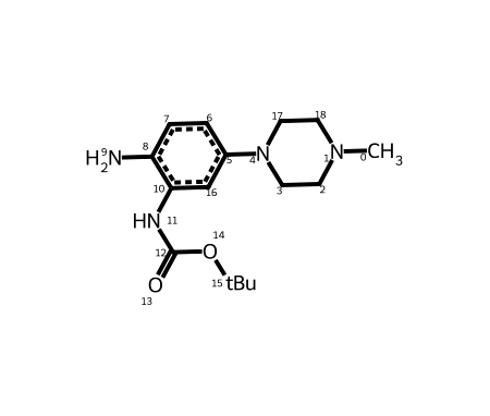 CN1CCN(c2ccc(N)c(NC(=O)OC(C)(C)C)c2)CC1